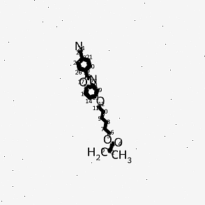 C=C(C)C(=O)OCCCCCCOc1ccc2oc(-c3ccc(C#N)cc3)nc2c1